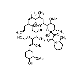 C=CCC(/C=C(/C)CC(C)C[C@H](OC)C1OC(O)(C(=O)C(=O)N2CCCCC2C)C(C)CC1OC)C(=O)CC(O)C(C)C(OCO)/C(C)=C/C1CCC(O)C(OC)C1